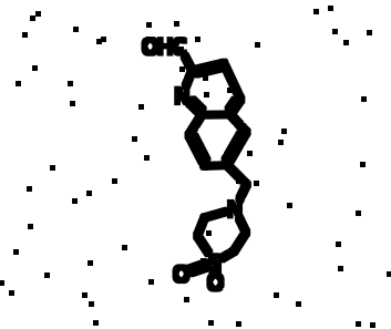 O=Cc1ccc2cc(CN3CCS(=O)(=O)CC3)ccc2n1